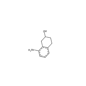 OC1CCc2cccc([AsH2])c2C1